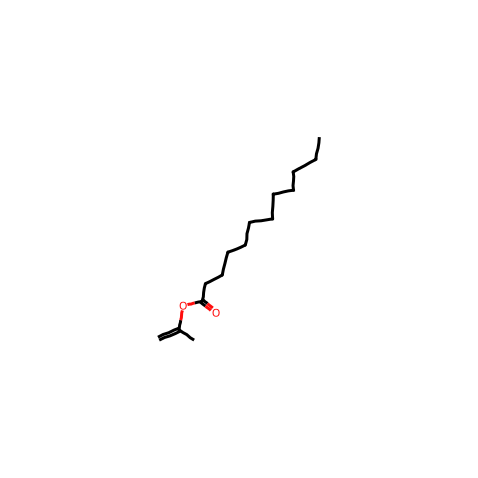 C=C(C)OC(=O)CCCCCCCCCCC